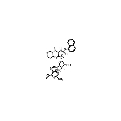 COc1nc(N)nc2c1ncn2C1O[C@H](COP(=O)(NC(C(=O)OC2CCOCC2)C(C)C)Oc2cccc3ccccc23)[C@@H](O)[C@@]1(C)O